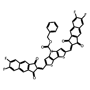 O=C1C(=Cc2cc3c(s2)c2sc(C=C4C(=O)c5cc6cc(F)c(F)cc6cc5C4=O)cc2n3C(=O)OCc2ccccc2)C(=O)c2cc3cc(F)c(F)cc3cc21